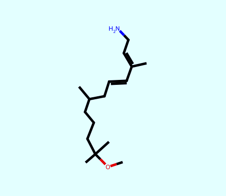 COC(C)(C)CCCC(C)CC=CC(C)=CCN